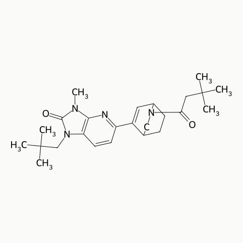 Cn1c(=O)n(CC(C)(C)C)c2ccc(C3=CC4CCC3CN4C(=O)CC(C)(C)C)nc21